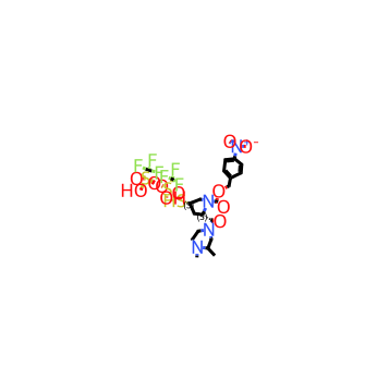 CC1CN(C(=O)[C@@H]2C[C@H](S)CN2C(=O)OCc2ccc([N+](=O)[O-])cc2)CCN1C.O=S(=O)(O)C(F)(F)F.O=S(=O)(O)C(F)(F)F